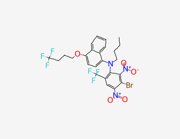 CCCCN(c1c(C(F)(F)F)cc([N+](=O)[O-])c(Br)c1[N+](=O)[O-])c1ccc(OCCCC(F)(F)F)c2ccccc12